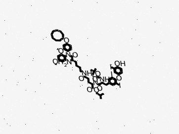 COc1ccc(N(C(=O)C(N)CCCCNC(=O)CCC(NC(=O)C(Cc2cc(I)c(Oc3ccc(O)c(I)c3)c(I)c2)NC(=O)OC(C)(C)C)C(=O)OCC(C)C)c2ccc(OC3CCCCCCCC3)cc2)c(OC)c1